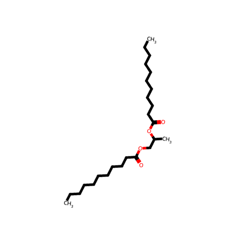 CCCCCCCCCCC(=O)OCC(C)OC(=O)CCCCCCCCCC